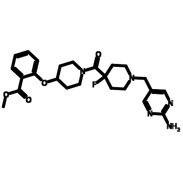 COC(=O)c1ccccc1OC1CCN(C(=O)C2(F)CCN(Cc3cnc(N)nc3)CC2)CC1